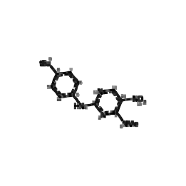 CNc1nc(Nc2ccc(C(C)(C)C)cc2)ncc1[N+](=O)[O-]